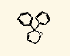 C1=CC(c2ccccc2)(c2ccccc2)OCC1